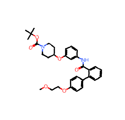 COCCOc1ccc(-c2ccccc2C(=O)Nc2cccc(OC3CCN(C(=O)OC(C)(C)C)CC3)c2)cc1